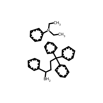 BC(CCC(c1ccccc1)(c1ccccc1)c1ccccc1)c1ccccc1.CCN(CC)c1ccccc1